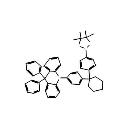 CC1(C)OB(c2ccc(C3(c4ccc(N5c6ccccc6C(c6ccccc6)(c6ccccc6)c6ccccc65)cc4)CCCCC3)cc2)OC1(C)C